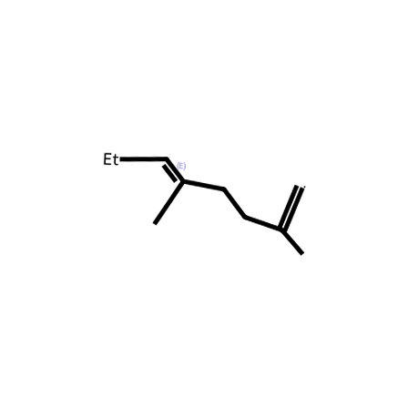 [CH]=C(C)CC/C(C)=C/CC